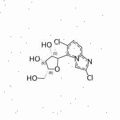 OC[C@H]1OC(c2c(Cl)ccc3nc(Cl)cn23)[C@@H](O)[C@H]1O